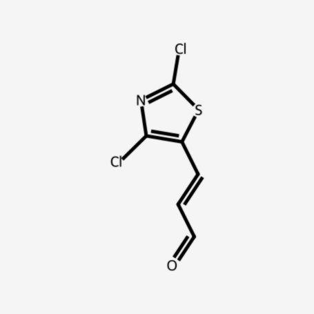 O=C/C=C/c1sc(Cl)nc1Cl